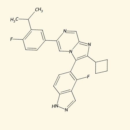 CC(C)c1cc(-c2cn3c(-c4ccc5[nH]ncc5c4F)c(C4CCC4)nc3cn2)ccc1F